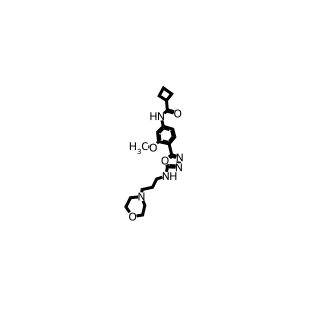 COc1cc(NC(=O)C2CCC2)ccc1-c1nnc(NCCCN2CCOCC2)o1